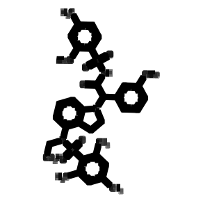 COc1cccc(C(C(=O)NS(=O)(=O)c2ccc(C)cc2OC)N2CCc3c2cccc3N(CC(=O)O)S(=O)(=O)c2c(C)cc(C)cc2C)c1